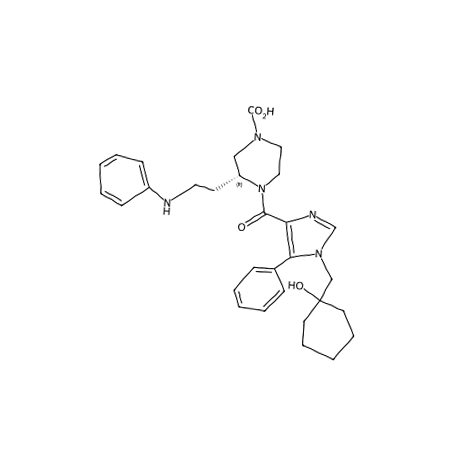 O=C(O)N1CCN(C(=O)c2ncn(CC3(O)CCCCC3)c2-c2ccccc2)[C@H](CCNc2ccccc2)C1